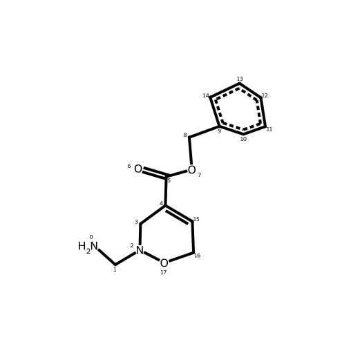 NCN1CC(C(=O)OCc2ccccc2)=CCO1